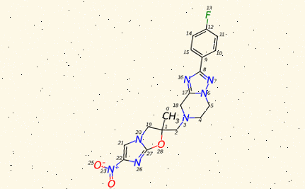 CC1(CN2CCn3nc(-c4ccc(F)cc4)nc3C2)Cn2cc([N+](=O)[O-])nc2O1